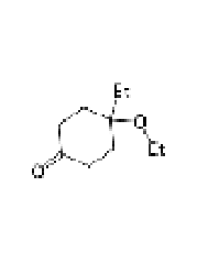 CCOC1(CC)CCC(=O)CC1